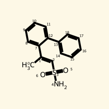 CC(=CS(N)(=O)=O)c1ccccc1-c1ccccc1